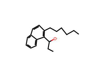 CCCCCCc1ccc2ccccc2c1C([O])CC